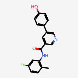 Cc1ccc(F)cc1NC(=O)c1cncc(-c2ccc(O)cc2)c1